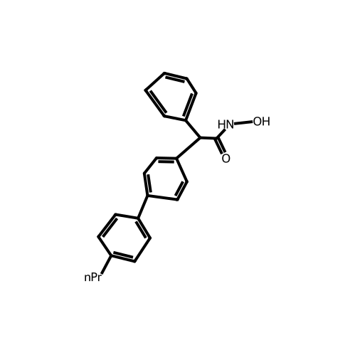 CCCc1ccc(-c2ccc(C(C(=O)NO)c3ccccc3)cc2)cc1